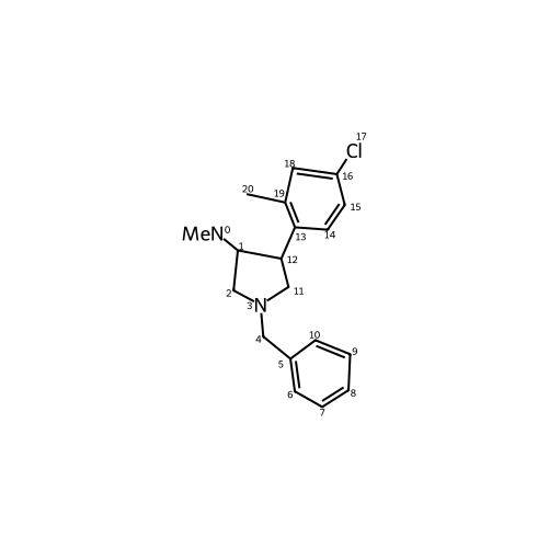 CNC1CN(Cc2ccccc2)CC1c1ccc(Cl)cc1C